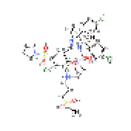 CC(C)Oc1cc(Cl)c(S(=O)(=O)N2CCCC2)cc1C1=N[C@@](C)(c2ccc(Cl)cc2)[C@@](C)(c2ccc(Cl)cc2)N1C(=O)N1CCN(CCCS(C)(=O)=O)CC1